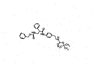 CC(C)(C)OC(=O)NCCc1ccc(NC(=O)C(CNC(=O)OCc2ccccc2)c2ccccc2)cc1